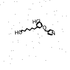 Cl.OCCCCCCc1cccc(OCc2ccncc2)c1